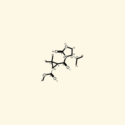 COC(=O)[C@H]1C(C(=O)N2C(=O)OC[C@@H]2C(C)C)C1(C)C